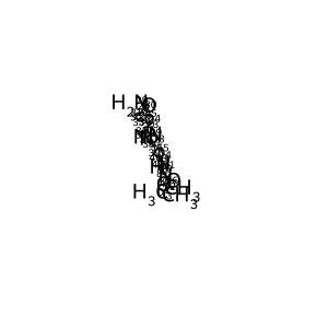 CC(C)(C)OC(=O)N1C[C@@H]2C1CN2c1ccc(-c2cnc3c(-c4cccc5c(C(N)=O)cccc45)cnn3c2)cc1